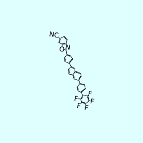 N#Cc1ccc2nc(-c3ccc(-c4ccc5cc(-c6ccc(-c7c(F)c(F)c(F)c(F)c7F)cc6)ccc5c4)cc3)oc2c1